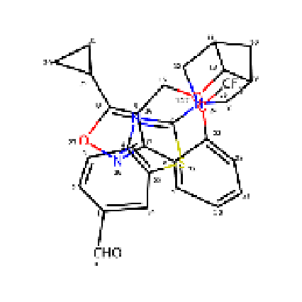 O=Cc1ccc2nc(N3CC4CC(C3)C4OCc3c(-c4ccccc4OC(F)(F)F)noc3C3CC3)sc2c1